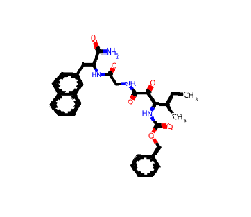 CCC(C)C(NC(=O)OCc1ccccc1)C(=O)C(=O)NCC(=O)NC(Cc1ccc2ccccc2c1)C(N)=O